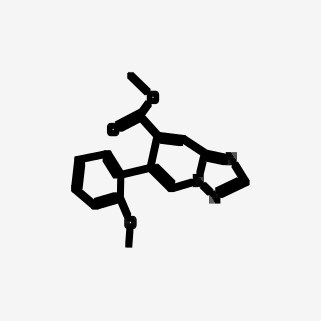 COC(=O)c1cc2ncnn2cc1-c1ccccc1OC